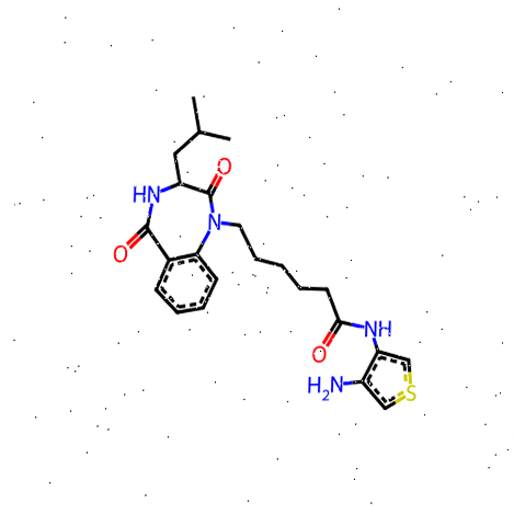 CC(C)CC1NC(=O)c2ccccc2N(CCCCCC(=O)Nc2cscc2N)C1=O